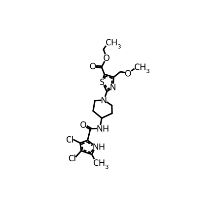 CCOC(=O)c1sc(N2CCC(NC(=O)c3[nH]c(C)c(Cl)c3Cl)CC2)nc1COC